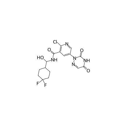 O=C(NC(O)C1CCC(F)(F)CC1)c1cc(-n2ncc(=O)[nH]c2=O)cnc1Cl